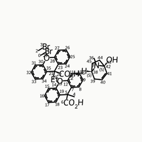 CBr.CBr.CC1(C(=O)O)c2ccccc2Oc2ccccc21.CCC1(C(=O)O)c2ccccc2Oc2ccccc21.CN1[C@@H]2CC=C[C@@]1(O)CC2